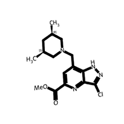 COC(=O)c1cc(CN2C[C@H](C)C[C@H](C)C2)c2[nH]nc(Cl)c2n1